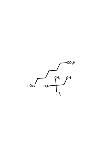 CC(C)(N)CO.CCCCCCCCCCCCCC(=O)O